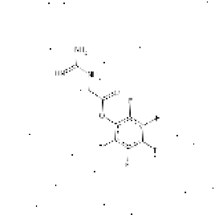 N=C(N)NCC(=O)Oc1c(F)c(F)c(F)c(F)c1F